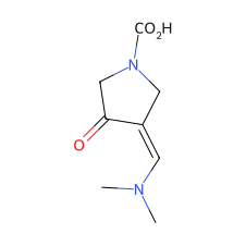 CN(C)C=C1CN(C(=O)O)CC1=O